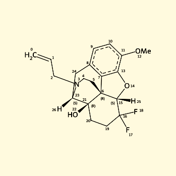 C=CCN1CC[C@@]23c4c5ccc(OC)c4O[C@@H]2C(F)(F)CC[C@]3(O)[C@@H]1C5